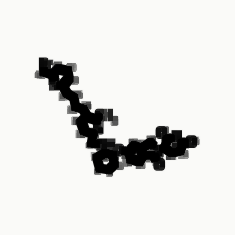 Cc1nc(CN[C@H]2CCCC[C@@H]2Oc2ccc3c(c2)CN(C2CCC(=O)NC2=O)C3=O)ccc1CCCCc1cccc(CBr)n1